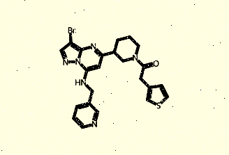 O=C(Cc1ccsc1)N1CCCC(c2cc(NCc3cccnc3)n3ncc(Br)c3n2)C1